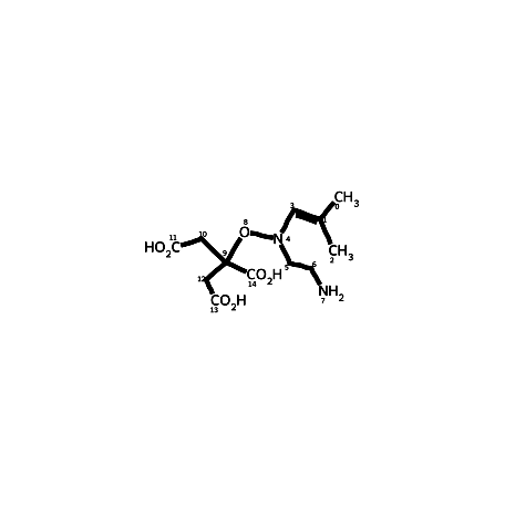 CC(C)=CN(CCN)OC(CC(=O)O)(CC(=O)O)C(=O)O